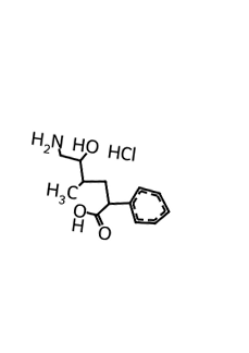 CC(CC(C(=O)O)c1ccccc1)C(O)CN.Cl